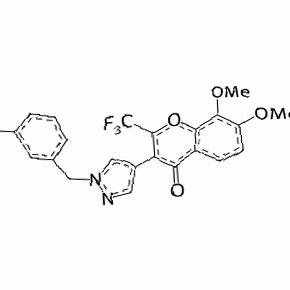 COc1ccc2c(=O)c(-c3cnn(Cc4cccc(C)c4)c3)c(C(F)(F)F)oc2c1OC